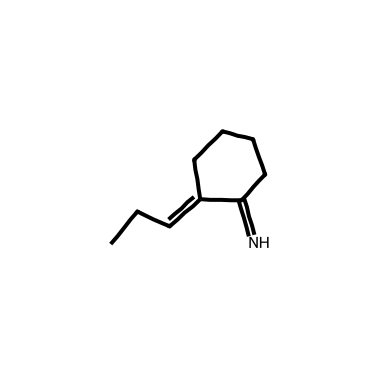 CCC=C1CCCCC1=N